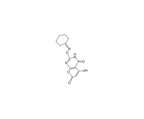 CCCc1cc(=O)oc2nc(ON=C3CCCCC3)[nH]c(=O)c12